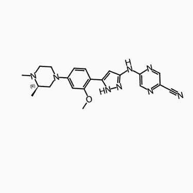 COc1cc(N2CCN(C)[C@H](C)C2)ccc1-c1cc(Nc2cnc(C#N)cn2)n[nH]1